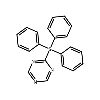 c1ccc(S(c2ccccc2)(c2ccccc2)c2ncncn2)cc1